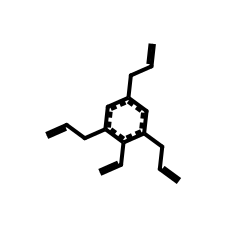 C=CCc1cc(CC=C)c(C=C)c(CC=C)c1